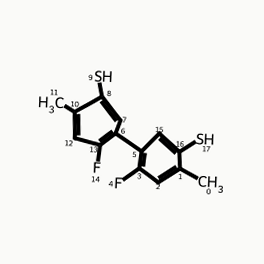 Cc1cc(F)c(-c2cc(S)c(C)cc2F)cc1S